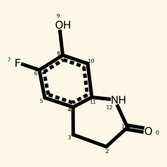 O=C1CCc2cc(F)c(O)cc2N1